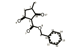 CC1CC(=O)C(C(=O)OCc2ccccc2)C1=O